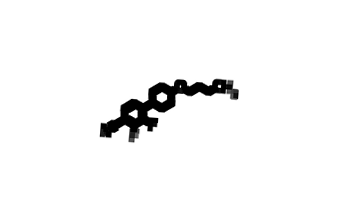 CCCCOC1CCC(c2ccc(C#N)c(F)c2F)CC1